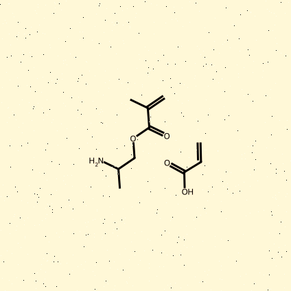 C=C(C)C(=O)OCC(C)N.C=CC(=O)O